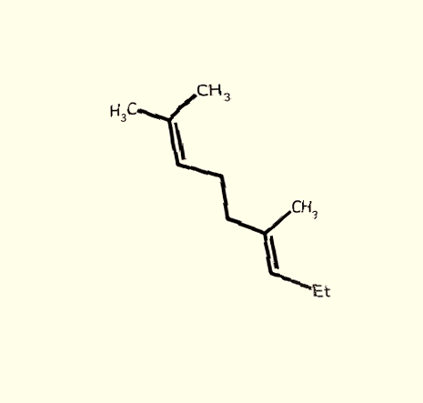 CC/C=C(\C)CCC=C(C)C